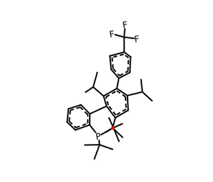 CC(C)c1cc(C(C)C)c(-c2ccccc2P(C(C)(C)C)C(C)(C)C)c(C(C)C)c1-c1ccc(C(F)(F)F)cc1